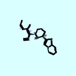 C=N/C(=C(C)\C=C/C)[C@@H]1CCC[C@H](c2cn3ccccc3n2)N1